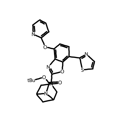 CC(C)(C)OC(=O)N1C2CC1CN(c1nc3c(Oc4ccccn4)ccc(-c4nccs4)c3o1)C2